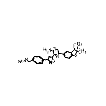 CNCc1ccc(-c2cc(-c3nc(-c4ccc5c(c4)C(F)C(C)(C)S5)cnc3N)on2)cc1